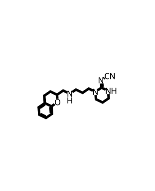 N#CN=C1NCCCN1CCCNCC1CCc2ccccc2O1